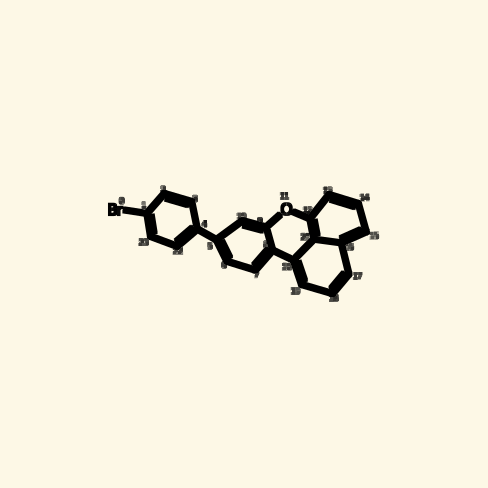 Brc1ccc(-c2ccc3c(c2)Oc2cccc4cccc-3c24)cc1